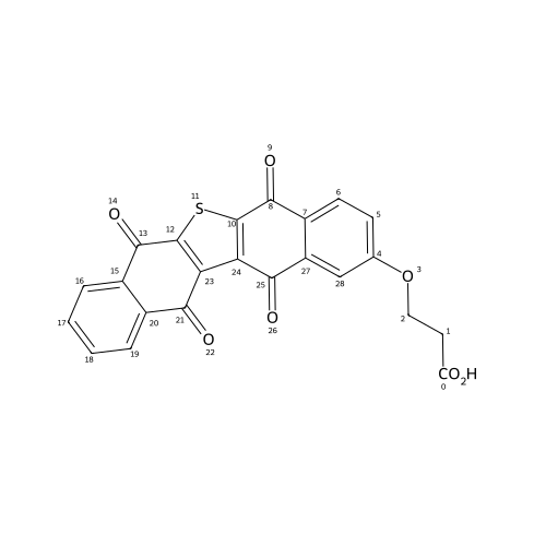 O=C(O)CCOc1ccc2c(=O)c3sc4c(=O)c5ccccc5c(=O)c4c3c(=O)c2c1